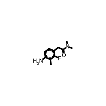 Cc1c(N)ccc(CC(=O)N(C)C)c1F